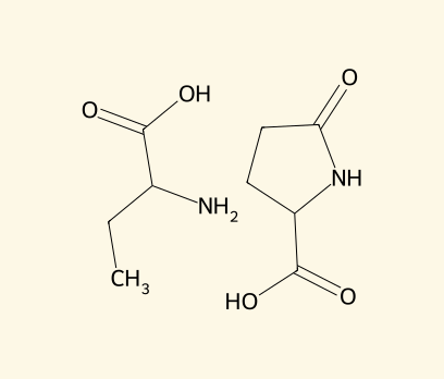 CCC(N)C(=O)O.O=C1CCC(C(=O)O)N1